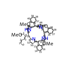 C/C=C\C=C(/COC)c1c2nc(c(-c3ccccc3OC)c3ccc([nH]3)c(-c3ccccc3OC)c3nc(c(-c4ccccc4OC)c4ccc1[nH]4)C=C3)C=C2